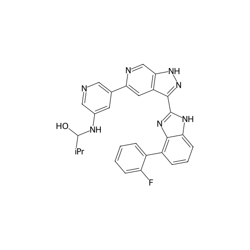 CC(C)C(O)Nc1cncc(-c2cc3c(-c4nc5c(-c6ccccc6F)cccc5[nH]4)n[nH]c3cn2)c1